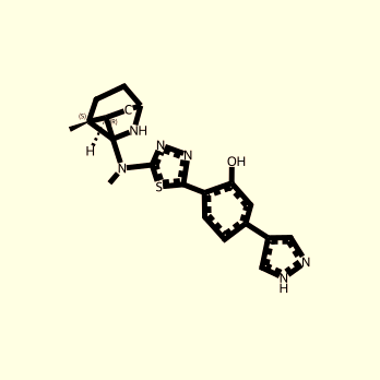 CN(c1nnc(-c2ccc(-c3cn[nH]c3)cc2O)s1)[C@@H]1CC2CC[C@@]1(C)CN2